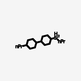 CCC[SiH2]C1CCC(C2CCC(CCC)CC2)CC1